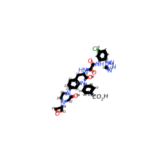 O=C(Nc1cc(Cl)ccc1-n1cnnn1)C(=O)NC(Cc1ccc(N2CCN(C3COC3)CC2=O)cc1)C(=O)Nc1ccc(C(=O)O)cc1